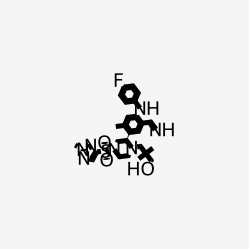 Cc1cc(Nc2ccc(F)cc2)c(C=N)cc1[C@H]1CN(S(=O)(=O)c2cnn(C)n2)CCN1CC(C)(C)CO